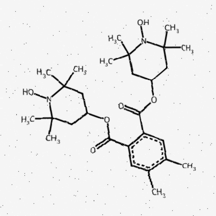 Cc1cc(C(=O)OC2CC(C)(C)N(O)C(C)(C)C2)c(C(=O)OC2CC(C)(C)N(O)C(C)(C)C2)cc1C